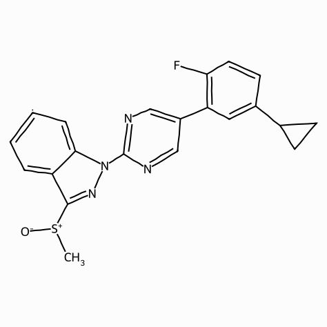 C[S+]([O-])c1nn(-c2ncc(-c3cc(C4CC4)ccc3F)cn2)c2c[c]ccc12